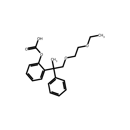 CCOCCOCC(C)(c1ccccc1)c1ccccc1OC(=O)O